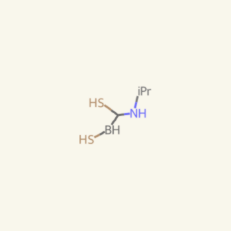 CC(C)NC(S)BS